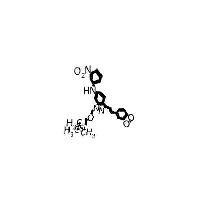 C[Si](C)(C)CCOCn1nc(C=Cc2ccc3c(c2)OCO3)c2ccc(Nc3cccc([N+](=O)[O-])c3)cc21